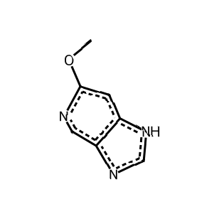 COc1cc2[nH]cnc2cn1